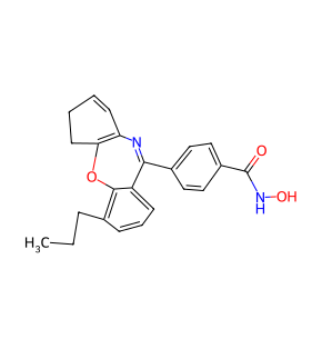 CCCc1cccc2c1OC1=C(C=CCC1)N=C2c1ccc(C(=O)NO)cc1